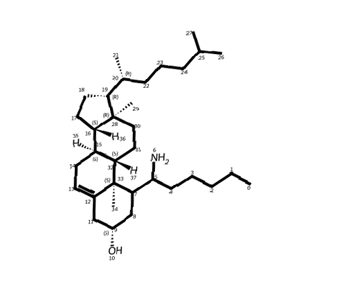 CCCCCC(N)C1C[C@H](O)CC2=CC[C@H]3[C@@H]4CC[C@H]([C@H](C)CCCC(C)C)[C@@]4(C)CC[C@@H]3[C@]21C